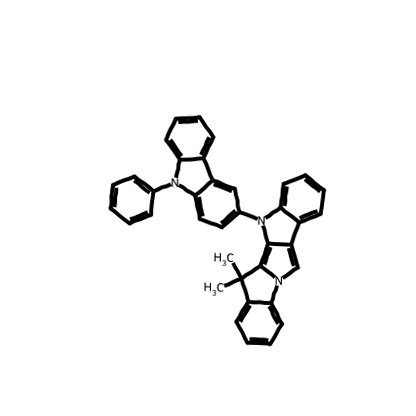 CC1(C)c2ccccc2-n2cc3c4ccccc4n(-c4ccc5c(c4)c4ccccc4n5-c4ccccc4)c3c21